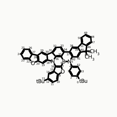 CC(C)(C)c1ccc(N2B3c4oc5ccc(C(C)(C)C)cc5c4-n4c5cc6oc7ccccc7c6cc5c5ccc(c3c54)-c3cc4c(cc32)C(C)(C)c2ccccc2-4)cc1